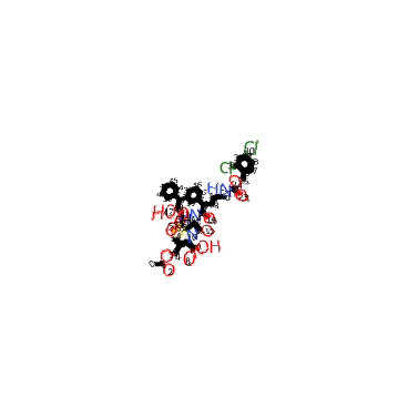 CC(=O)OCC1=C(C(=O)O)N2C(=O)[C@H](NC(=O)C(CCCNC(=O)OCc3ccc(Cl)cc3Cl)c3cccc(C(C(=O)O)c4ccccc4)c3)[C@@H]2S(=O)(=O)C1